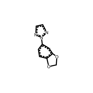 [c]1c(-n2nccn2)ccc2c1OCO2